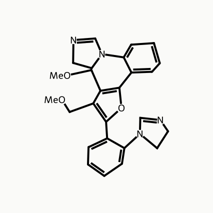 COCc1c(-c2ccccc2N2C=NCC2)oc(-c2ccccc2N2C=NCC2)c1COC